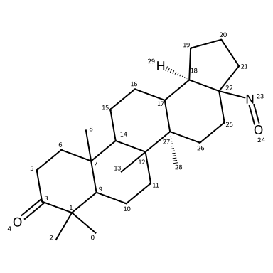 CC1(C)C(=O)CCC2(C)C1CCC1(C)C2CCC2[C@H]3CCCC3(N=O)CC[C@]21C